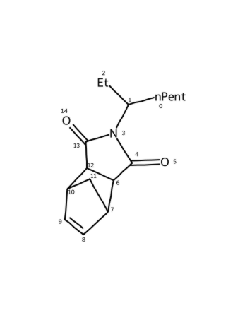 CCCCCC(CC)N1C(=O)C2C3C=CC(C3)C2C1=O